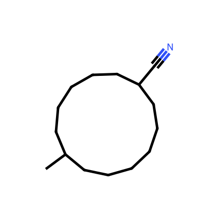 CC1CCCCCCC(C#N)CCCCC1